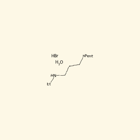 Br.CCCCCCCCNCC.O